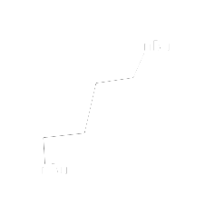 CCC[CH]C[CH]CCCCCC